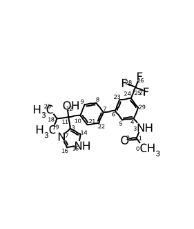 CC(=O)Nc1cc(-c2ccc(C(O)(c3c[nH]cn3)C(C)C)cc2)cc(C(F)(F)F)c1